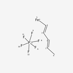 CC=CC=[CH][Fe+].F[P-](F)(F)(F)(F)F